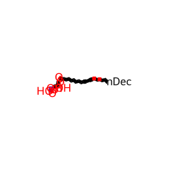 CCCCCCCCCCCCCCCCC#CC#CCCCCCCCCC(=O)OCC(O)COP(=O)(O)O